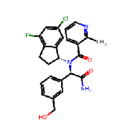 Cc1ncccc1C(=O)N([C@@H]1CCc2c(F)cc(Cl)cc21)[C@@H](C(N)=O)c1cccc(CO)c1